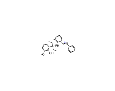 CCC(CC)(Pc1c(C)cccc1/C=N/c1ccccc1)c1cccc(OC)c1O